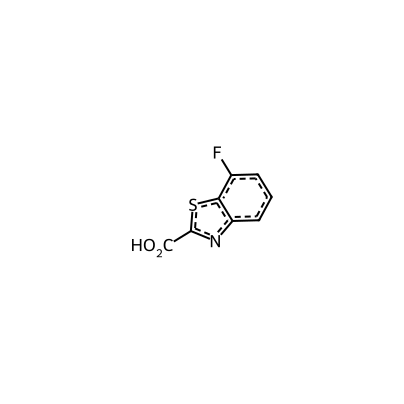 O=C(O)c1nc2cccc(F)c2s1